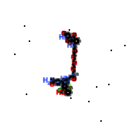 CN(CCOCCOCCOCCOCCNc1cccc2c1C(=O)N(C1CCC(=O)NC1=O)C2=O)C(=O)CCNc1nc(N2CCN(C(N)=O)CC2)c2cc(Cl)c(-c3c(O)cccc3F)c(F)c2n1